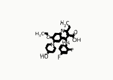 CCOc1cc2nc(CC)c(C(=O)O)c(Nc3ccc(F)cc3F)c2cc1N1CCC(O)CC1